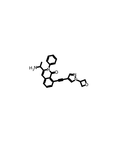 CC(N)c1cc2cccc(C#Cc3cnn(C4COC4)c3)c2c(=O)n1-c1ccccc1